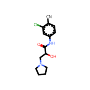 N#Cc1ccc(NC(=O)C(O)CN2CCCC2)cc1Cl